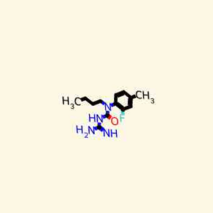 CCCCN(C(=O)NC(=N)N)c1ccc(C)cc1F